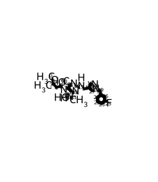 CO[C@H](C)CC(=O)Nc1c(C)nc(NCc2cnn(Cc3cccc(F)c3)c2)nc1N(C)O